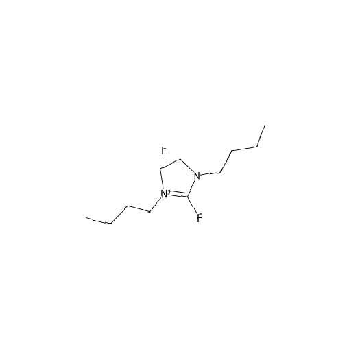 CCCCN1CC[N+](CCCC)=C1F.[I-]